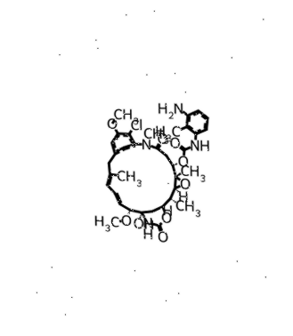 COc1cc2cc(c1Cl)N(C)C(=O)C[C@H](OC(=O)Nc1cccc(N)c1C)[C@]1(C)O[C@H]1[C@H](C)[C@@H]1C[C@@](O)(NC(=O)O1)[C@H](OC)/C=C/C=C(\C)C2